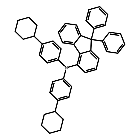 c1ccc(C2(c3ccccc3)c3ccccc3-c3c(N(c4ccc(C5CCCCC5)cc4)c4ccc(C5CCCCC5)cc4)cccc32)cc1